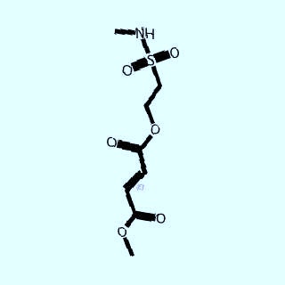 CNS(=O)(=O)CCOC(=O)/C=C/C(=O)OC